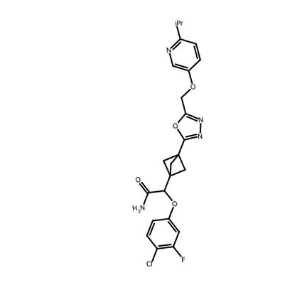 CC(C)c1ccc(OCc2nnc(C34CC(C(Oc5ccc(Cl)c(F)c5)C(N)=O)(C3)C4)o2)cn1